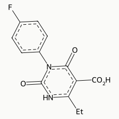 CCc1[nH]c(=O)n(-c2ccc(F)cc2)c(=O)c1C(=O)O